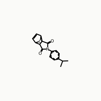 CC(C)c1ccc(N2C(=O)C3C4C=CC(O4)C3C2=O)cc1